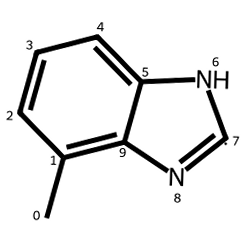 Cc1cccc2[nH][c]nc12